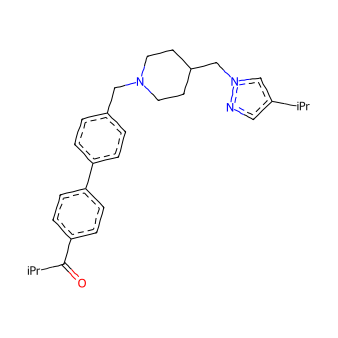 CC(C)C(=O)c1ccc(-c2ccc(CN3CCC(Cn4cc(C(C)C)cn4)CC3)cc2)cc1